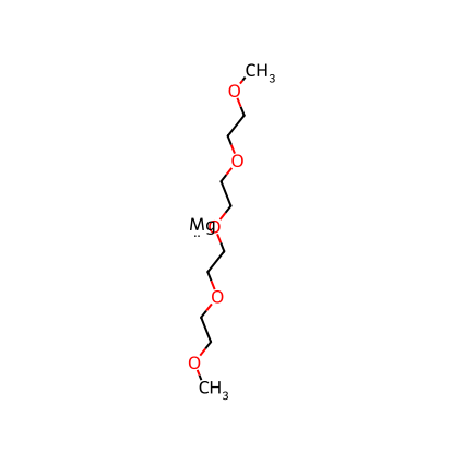 COCCOCCOCCOCCOC.[Mg]